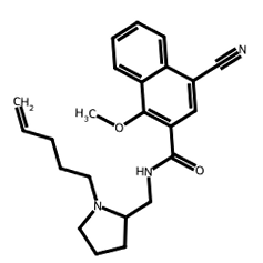 C=CCCCN1CCCC1CNC(=O)c1cc(C#N)c2ccccc2c1OC